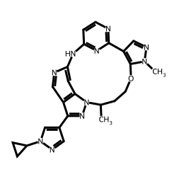 CC1CCOc2c(cnn2C)-c2nccc(n2)Nc2cc3c(cn2)c(-c2cnn(C4CC4)c2)nn31